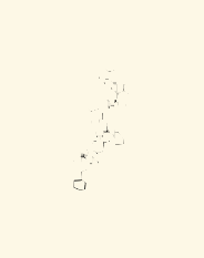 CC[C@H](C)[C@H](CN(C)C(=O)[C@@H](NC(=O)[C@H](C(C)C)N(C)C)C(C)C)[C@@H](CC(=O)N1CCCC[C@H]1[C@H](OC)[C@@H](C)C(=O)N[C@@H](CCc1ccccc1)C(=O)O)OC